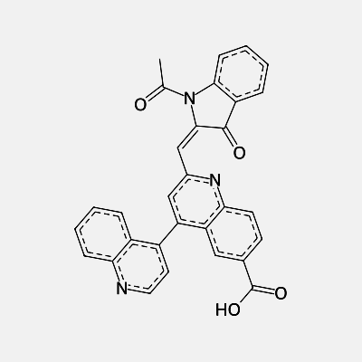 CC(=O)N1C(=Cc2cc(-c3ccnc4ccccc34)c3cc(C(=O)O)ccc3n2)C(=O)c2ccccc21